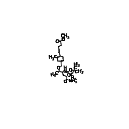 COC(=O)CCC#Cc1ccc(CO[C@H](C)[C@H](CCC(N)=O)NC(=O)OC(C)(C)C)cc1C